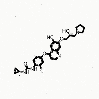 N#Cc1cc2c(Oc3ccc(NC(=O)NC4CC4)c(Cl)c3)ccnc2cc1OC[C@@H](O)CN1CCCC1